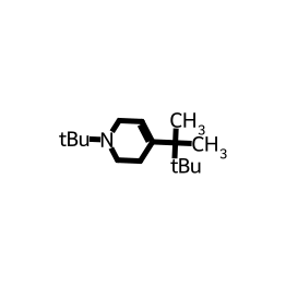 CC(C)(C)N1CC=C(C(C)(C)C(C)(C)C)CC1